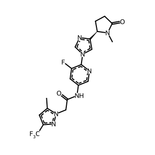 Cc1cc(C(F)(F)F)nn1CC(=O)Nc1cnc(-n2cnc([C@H]3CCC(=O)N3C)c2)c(F)c1